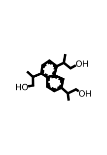 CC(CO)c1ccc2c(C(C)CO)ccc(C(C)CO)c2c1